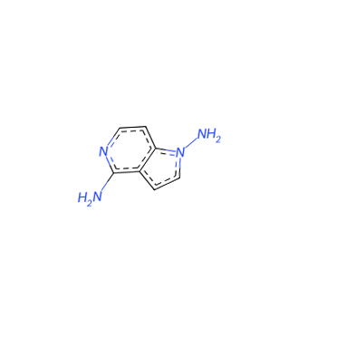 Nc1nccc2c1ccn2N